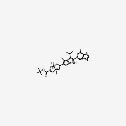 Cc1c(C2C[C@@H]3CN(C(=O)OC(C)(C)C)C[C@@H]3C2)sc2[nH]c(-c3cc(C)c4ncnn4c3)c(C(C)C)c12